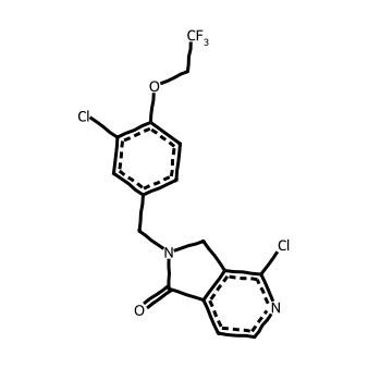 O=C1c2ccnc(Cl)c2CN1Cc1ccc(OCC(F)(F)F)c(Cl)c1